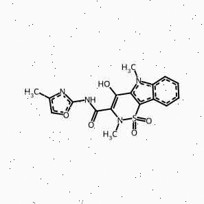 Cc1coc(NC(=O)C2=C(O)c3c(c4ccccc4n3C)S(=O)(=O)N2C)n1